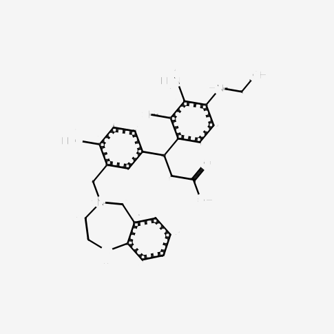 CCNc1ccc(C(CC(=O)O)c2ccc(C)c(CN3CCOc4ccccc4C3)c2)c(Cl)c1N